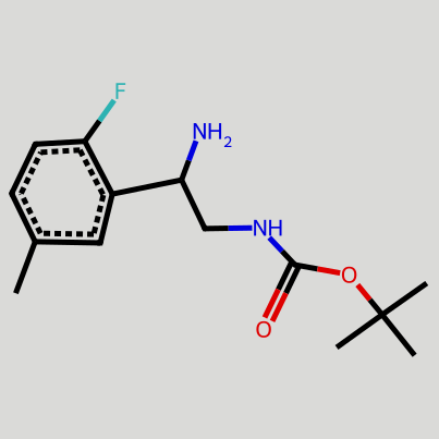 Cc1ccc(F)c(C(N)CNC(=O)OC(C)(C)C)c1